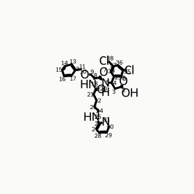 O=C(O)CC(NC(=O)C(COCc1ccccc1)NC(=O)CCCCNc1ccccn1)c1cc(Cl)cc(Cl)c1